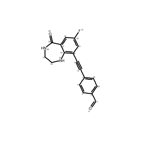 O=Cc1ccc(C#Cc2cc(F)cc3c2NCCNC3=O)cc1